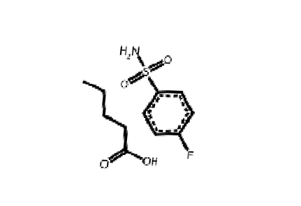 CCCCC(=O)O.NS(=O)(=O)c1ccc(F)cc1